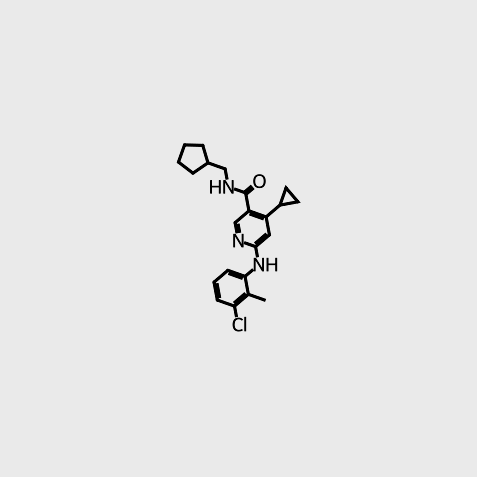 Cc1c(Cl)cccc1Nc1cc(C2CC2)c(C(=O)NCC2CCCC2)cn1